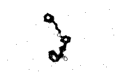 O=C(C=Cc1cccc(OCCCc2ccccc2)c1)c1ccccc1